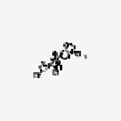 CCN/C(=N\S(=O)(=O)c1ccc2c(c1)OCCN2C)N1CC(CC)C=N1